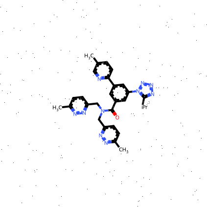 Cc1ccc(-c2cc(C(=O)N(Cc3ccc(C)nn3)Cc3ccc(C)nn3)cc(-n3nnnc3C(C)C)c2)nc1